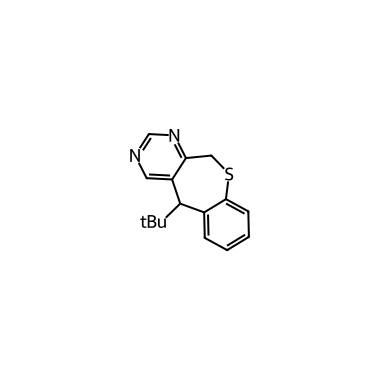 CC(C)(C)C1c2ccccc2SCc2ncncc21